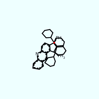 PC(c1ccc2nc3ccccc3cc2c1C(P)(C1CCCCC1)C1CCCCC1)(C1CCCCC1)C1CCCCC1